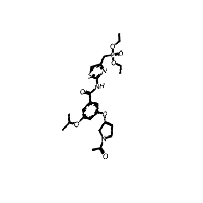 CCOP(=O)(Cc1csc(NC(=O)c2cc(OC(C)C)cc(O[C@H]3CCN(C(C)=O)C3)c2)n1)OCC